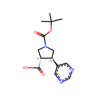 CC(C)(C)OC(=O)N1C[C@@H](C(=O)O)[C@H](c2cncnc2)C1